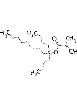 C=C(C)C(=O)O[Si](CCCC)(CCCC)CCCCCCCC